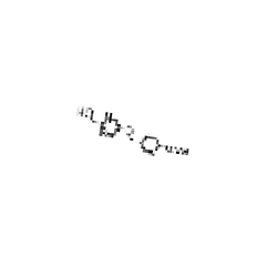 COc1ccc(COc2cnc(CO)nc2)cc1